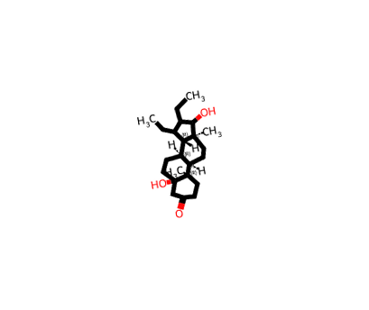 CCC1C(CC)[C@H]2[C@@H]3CCC4(O)CC(=O)CC[C@]4(C)[C@@H]3CC[C@]2(C)C1O